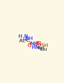 CC[C@H](C)[C@H](NC(=O)CNC(=O)CC[C@H](NN)C(C)=O)C(=O)S